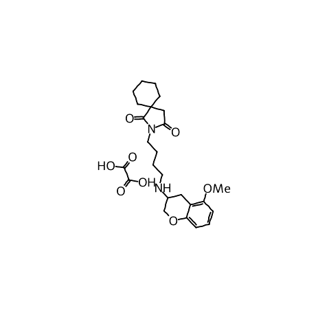 COc1cccc2c1CC(NCCCCN1C(=O)CC3(CCCCC3)C1=O)CO2.O=C(O)C(=O)O